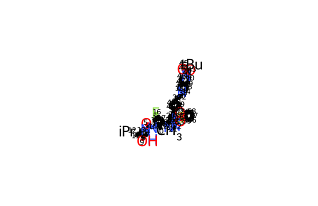 Cc1c(NC(=O)N2CC(O)C(CC(C)C)C2)cc(F)cc1-c1ncnc2c1cc(-c1ccc(CCN3CCC4(CC3)CCN(C(=O)OC(C)(C)C)CC4)cc1)n2S(=O)(=O)c1ccccc1